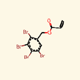 C=CC(=O)OCc1cc(Br)c(Br)c(Br)c1Br